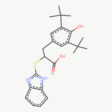 CC(C)(C)c1cc(CC(Sc2nc3ccccc3[nH]2)C(=O)O)cc(C(C)(C)C)c1O